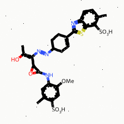 COc1cc(S(=O)(=O)O)c(C)cc1NC1OC1C(/N=N/C1CC=C(c2nc3ccc(C)c(S(=O)(=O)O)c3s2)CC1)=C(/C)O